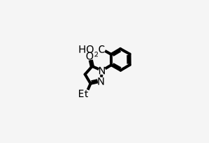 CCC1=NN(c2ccccc2C(=O)O)C(=O)C1